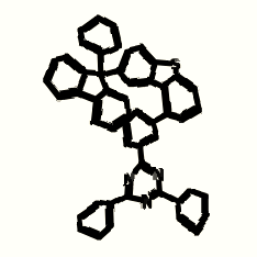 c1ccc(-c2nc(-c3ccccc3)nc(-c3cccc(-c4cccc5sc6ccc(C7(c8ccccc8)c8ccccc8-c8ccccc87)cc6c45)c3)n2)cc1